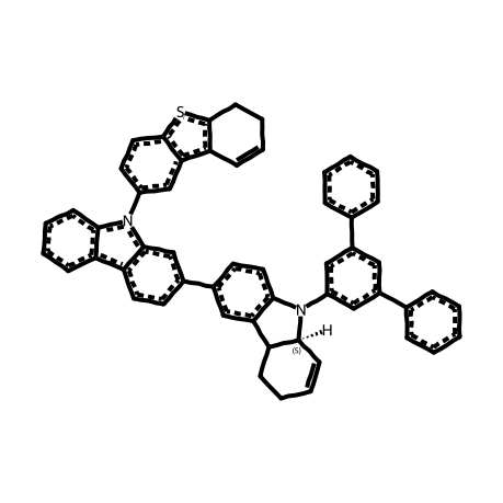 C1=Cc2c(sc3ccc(-n4c5ccccc5c5ccc(-c6ccc7c(c6)C6CCC=C[C@@H]6N7c6cc(-c7ccccc7)cc(-c7ccccc7)c6)cc54)cc23)CC1